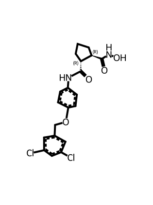 O=C(NO)[C@@H]1CCC[C@H]1C(=O)Nc1ccc(OCc2cc(Cl)cc(Cl)c2)cc1